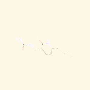 CCCCc1ccc(CNC(N)=O)c(=O)[nH]1